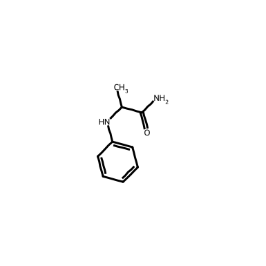 CC(Nc1ccccc1)C(N)=O